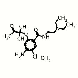 CCN(CC)CCNC(=O)c1cc(Cl)c(N)cc1OC(C)(C)C(C)=O.O